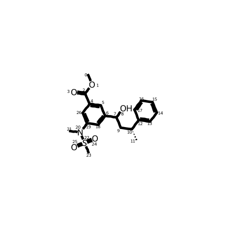 COC(=O)c1cc(C(O)C[C@@H](C)c2ccccc2)cc(N(C)S(C)(=O)=O)c1